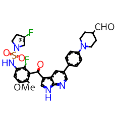 COc1ccc(NS(=O)(=O)N2CC[C@@H](F)C2)c(F)c1C(=O)c1c[nH]c2ncc(-c3ccc(N4CCC(C=O)CC4)cc3)cc12